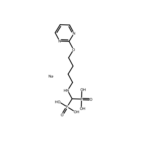 O=P(O)(O)C(NCCCCOc1ncccn1)P(=O)(O)O.[Na]